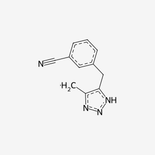 [CH2]c1nn[nH]c1Cc1cccc(C#N)c1